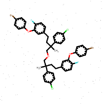 CC(CCc1ccc(F)c(Oc2ccc(Br)cc2)c1)(COCC(C)(CCc1ccc(F)c(Oc2ccc(Br)cc2)c1)c1ccc(Cl)cc1)c1ccc(Cl)cc1